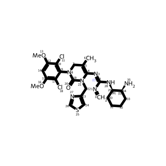 C=N/C(=N\C1=C(C)CN(c2c(Cl)c(OC)cc(OC)c2Cl)C(=O)N1Cc1cscn1)N[C@@H]1CCCC[C@@H]1N